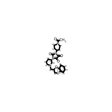 CC(=O)N1CCC(N2C(=O)C(=O)N(C3CCCN(CC4COc5ccccc5O4)C3)C2=O)CC1